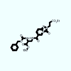 CCOC(=O)CCn1nc2ccc(C(=O)NCC(NC(=O)OCc3ccccc3)C(=O)OC(C)(C)C)cn2c1=O